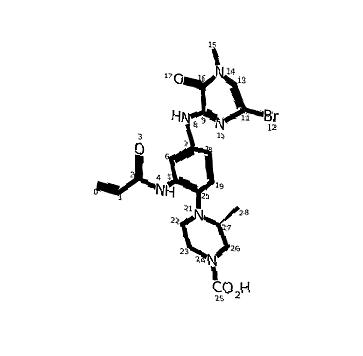 C=CC(=O)Nc1cc(Nc2nc(Br)cn(C)c2=O)ccc1N1CCN(C(=O)O)C[C@@H]1C